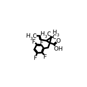 CC=CC1C(C)(C)C1(Cc1c(F)c(F)cc(F)c1F)C(=O)O